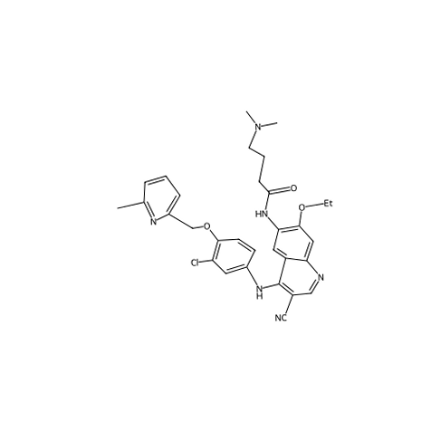 CCOc1cc2ncc(C#N)c(Nc3ccc(OCc4cccc(C)n4)c(Cl)c3)c2cc1NC(=O)CCCN(C)C